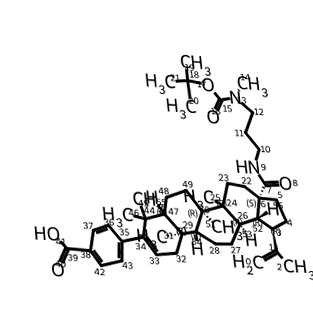 C=C(C)[C@@H]1CC[C@]2(C(=O)NCCCN(C)C(=O)OC(C)(C)C)CC[C@]3(C)[C@H](CC[C@@H]4[C@@]5(C)CC=C(c6ccc(C(=O)O)cc6)C(C)(C)[C@@H]5CC[C@]43C)[C@@H]12